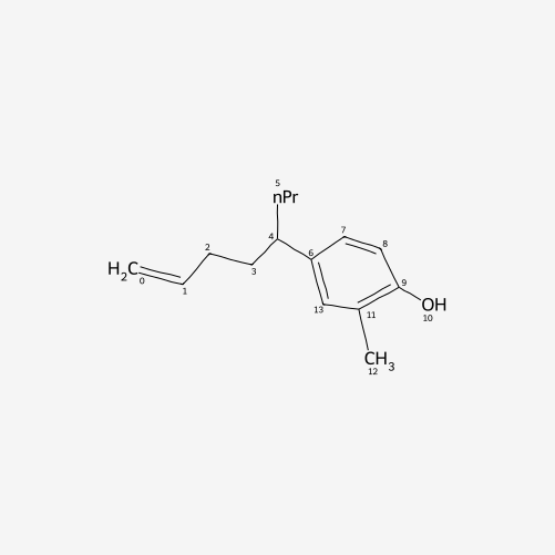 C=CCCC(CCC)c1ccc(O)c(C)c1